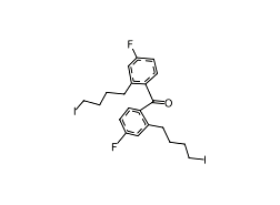 O=C(c1ccc(F)cc1CCCCI)c1ccc(F)cc1CCCCI